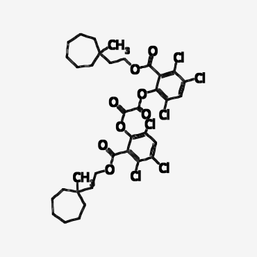 CC1(CCOC(=O)c2c(Cl)c(Cl)cc(Cl)c2OC(=O)C(=O)Oc2c(Cl)cc(Cl)c(Cl)c2C(=O)OCCC2(C)CCCCCC2)CCCCCC1